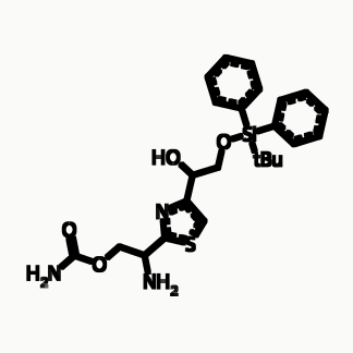 CC(C)(C)[Si](OCC(O)c1csc(C(N)COC(N)=O)n1)(c1ccccc1)c1ccccc1